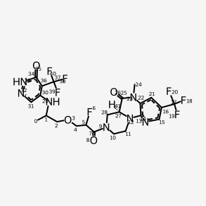 CC(COCC(F)C(=O)N1CCN2c3ncc(C(F)(F)F)cc3N(C)C(=O)[C@@H]2C1)Nc1cn[nH]c(=O)c1C(F)(F)F